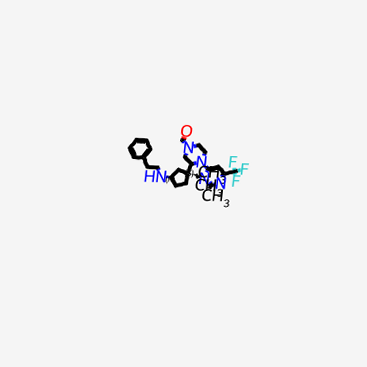 Cc1nc(N2CCN(C=O)CC2[C@@]2(C(C)C)CC[C@@H](NCCc3ccccc3)C2)cc(C(F)(F)F)n1